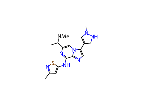 CNC(C)c1cn2c(C3=CN(C)NC3)cnc2c(Nc2cc(C)ns2)n1